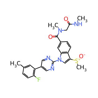 CNC(=O)CN(C)C(=O)c1ccc2c([S+](C)[O-])cn(-c3ncc(-c4cc(C)ccc4F)cn3)c2c1